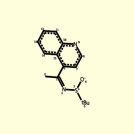 C/C(=N/[S+]([O-])C(C)(C)C)c1ccnc2ccccc12